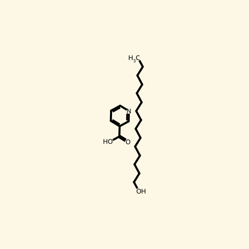 CCCCCCCCCCCCCCCO.O=C(O)c1cccnc1